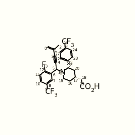 C=C(C)C#C[C@H](c1cc(C(F)(F)F)ccc1F)N1CC[C@@H](CC(=O)O)C[C@H]1c1ccc(C(F)(F)F)cc1